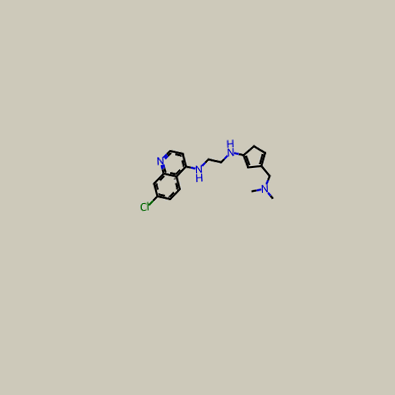 CN(C)CC1=CCC(NCCNc2ccnc3cc(Cl)ccc23)=C1